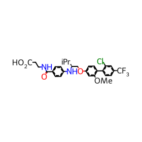 COc1cc(OC[C@@H](Nc2ccc(C(=O)NCCC(=O)O)cc2)C(C)C)ccc1-c1ccc(C(F)(F)F)cc1Cl